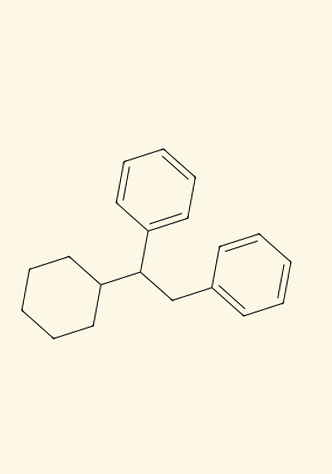 c1ccc(CC(c2ccccc2)C2CCCCC2)cc1